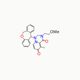 COCCN1CN(C2c3ccccc3COc3ccccc32)n2ccc(=O)c(C)c2C1=O